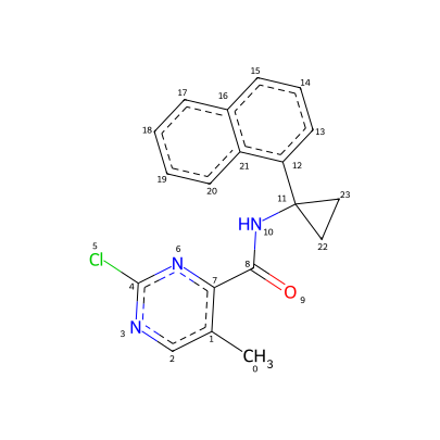 Cc1cnc(Cl)nc1C(=O)NC1(c2cccc3ccccc23)CC1